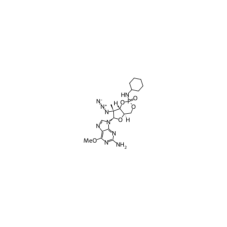 COc1nc(N)nc2c1ncn2[C@@H]1O[C@@H]2COP(=O)(NC3CCCCC3)O[C@H]2[C@@]1(C)N=[N+]=[N-]